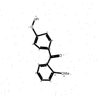 CCCOc1ccc(C(=O)c2ccccc2OC)cc1